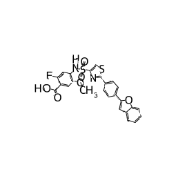 COc1cc(C(=O)O)c(F)cc1NS(=O)(=O)c1csc(-c2ccc(-c3cc4ccccc4o3)cc2)n1